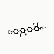 CCCc1ccc(C2CCC(c3ccc(C4CCC(CC)CC4)c(F)c3F)CC2)c(F)c1F